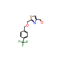 O=Cc1csc(COCc2ccc(C(F)(F)F)cc2)n1